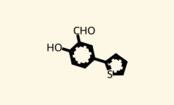 O=Cc1cc(-c2cccs2)ccc1O